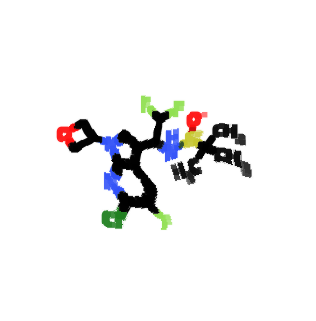 CC(C)(C)[S+]([O-])N[C@@H](c1cn(C2COC2)c2nc(Cl)c(F)cc12)C(F)F